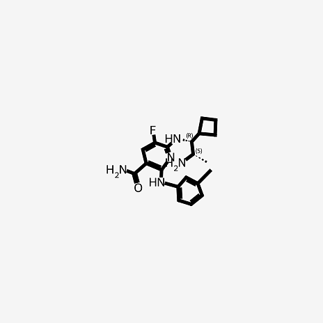 Cc1cccc(Nc2nc(N[C@H](C3CCC3)[C@H](C)N)c(F)cc2C(N)=O)c1